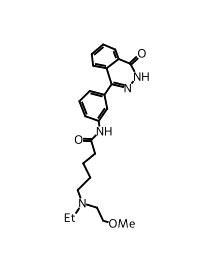 CCN(CCCCC(=O)Nc1cccc(-c2n[nH]c(=O)c3ccccc23)c1)CCOC